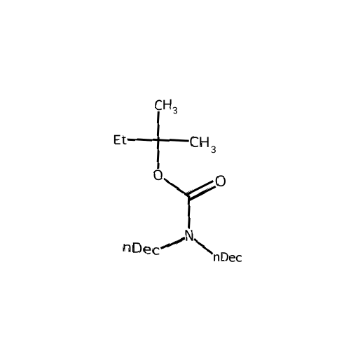 CCCCCCCCCCN(CCCCCCCCCC)C(=O)OC(C)(C)CC